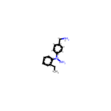 CCc1ccccc1N(N)c1ccc(CN)cc1